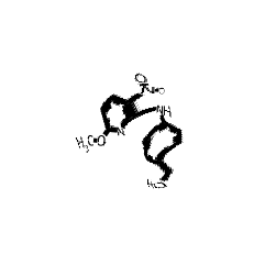 COc1ccc([N+](=O)[O-])c(Nc2ccc(CO)cc2)n1